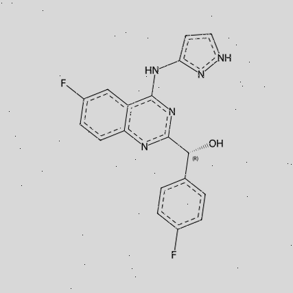 O[C@H](c1ccc(F)cc1)c1nc(Nc2cc[nH]n2)c2cc(F)ccc2n1